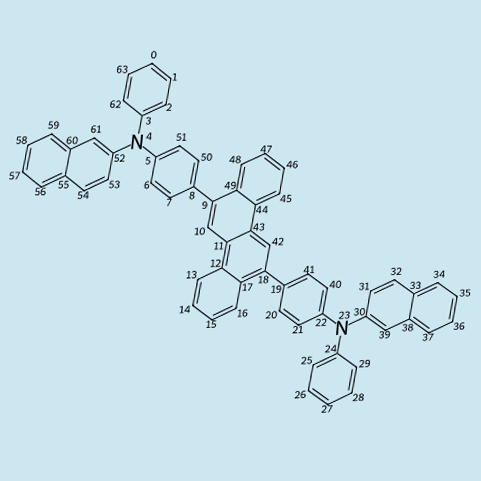 c1ccc(N(c2ccc(-c3cc4c5ccccc5c(-c5ccc(N(c6ccccc6)c6ccc7ccccc7c6)cc5)cc4c4ccccc34)cc2)c2ccc3ccccc3c2)cc1